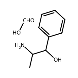 CC(N)C(O)c1ccccc1.O=CO